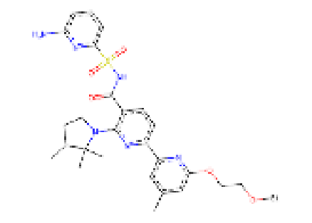 CCOCCOc1cc(C)cc(-c2ccc(C(=O)NS(=O)(=O)c3cccc(N)n3)c(N3CCC(C)C3(C)C)n2)n1